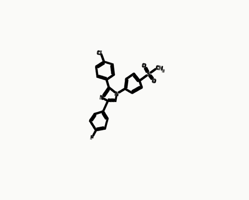 CS(=O)(=O)c1ccc(-n2cc(-c3ccc(F)cc3)nc2-c2ccc(Cl)cc2)cc1